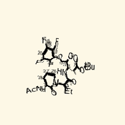 CCC(C(=O)N[C@@H](CC(=O)OC(C)(C)C)C(=O)COc1c(F)c(F)cc(F)c1F)n1cccc(NC(C)=O)c1=O